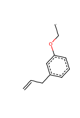 [CH2]COc1cccc(CC=C)c1